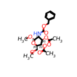 COC[C@H]1O[C@H](OC)[C@@H](NC(=O)OCc2ccccc2)[C@@H](OC(C)=O)[C@@H]1OC(C)=O